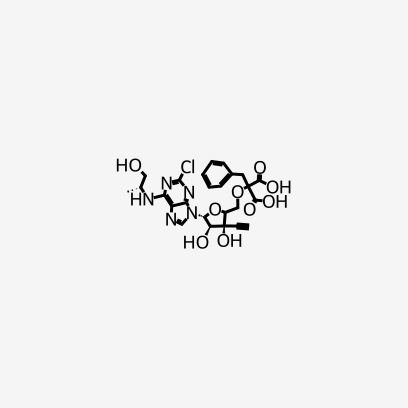 C#C[C@@]1(O)C(COC(Cc2ccccc2)(C(=O)O)C(=O)O)O[C@@H](n2cnc3c(N[C@H](C)CO)nc(Cl)nc32)[C@@H]1O